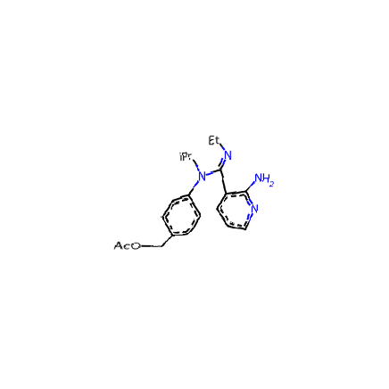 CC/N=C(/c1cccnc1N)N(c1ccc(COC(C)=O)cc1)C(C)C